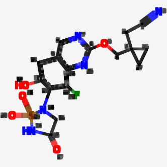 N#CCC1(COc2ncc3cc(O)c(N4CC(=O)NS4(=O)=O)c(F)c3n2)CC1